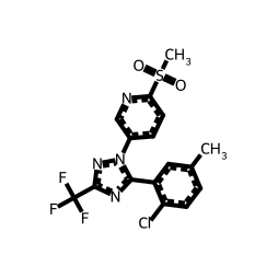 Cc1ccc(Cl)c(-c2nc(C(F)(F)F)nn2-c2ccc(S(C)(=O)=O)nc2)c1